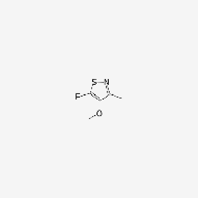 COc1c(C)nsc1F